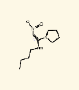 CCCCN/C(=C/[N+](=O)[O-])N1CCCC1